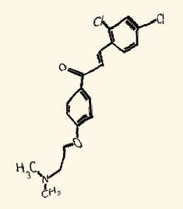 CN(C)CCOc1ccc(C(=O)C=Cc2ccc(Cl)cc2Cl)cc1